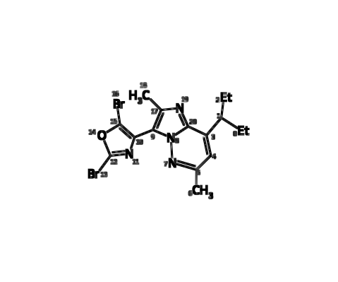 CCC(CC)c1cc(C)nn2c(-c3nc(Br)oc3Br)c(C)nc12